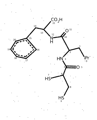 CC(C)CC(NC(=O)C(S)CS)C(=O)NC(Cc1ccccc1)C(=O)O